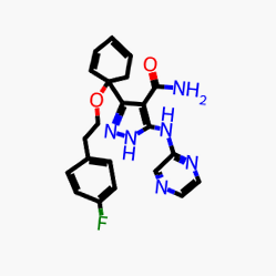 NC(=O)c1c(C2(OCCc3ccc(F)cc3)C=CC=CC2)n[nH]c1Nc1cnccn1